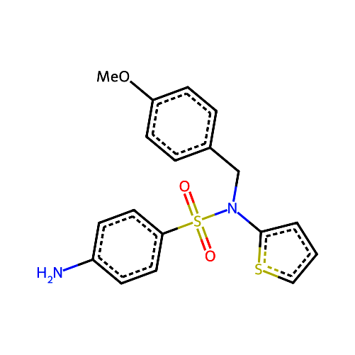 COc1ccc(CN(c2cccs2)S(=O)(=O)c2ccc(N)cc2)cc1